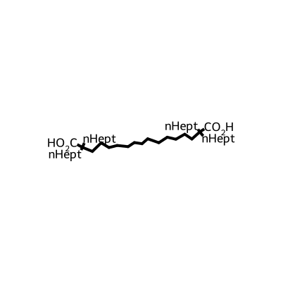 CCCCCCCC(CCCCCCC)(CCCCCCCCCCCCCC(CCCCCCC)(CCCCCCC)C(=O)O)C(=O)O